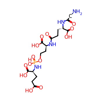 NCC(=O)N[C@@H](CCC(=O)N[C@@H](CCOP(=O)(O)N[C@@H](CCC(=O)O)C(=O)O)C(=O)O)C(=O)O